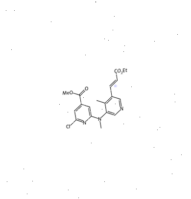 CCOC(=O)/C=C/c1cncc(N(C)c2cc(C(=O)OC)cc(Cl)n2)c1C